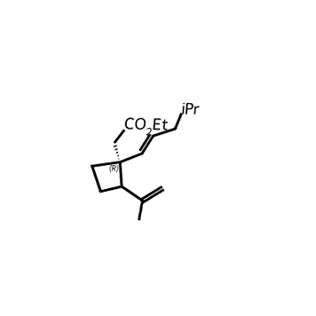 C=C(C)C1CC[C@]1(C=CCC(C)C)CC(=O)OCC